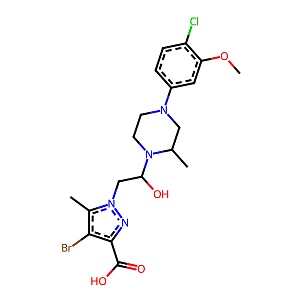 COc1cc(N2CCN(C(O)Cn3nc(C(=O)O)c(Br)c3C)C(C)C2)ccc1Cl